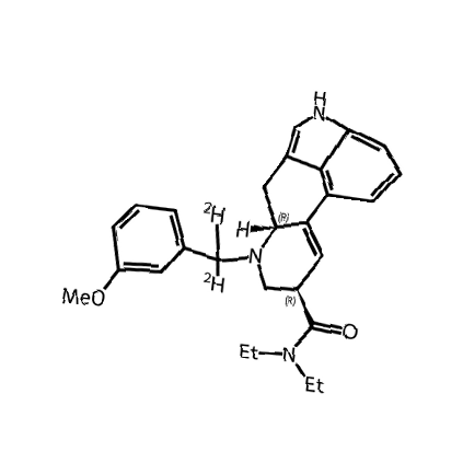 [2H]C([2H])(c1cccc(OC)c1)N1C[C@H](C(=O)N(CC)CC)C=C2c3cccc4[nH]cc(c34)C[C@H]21